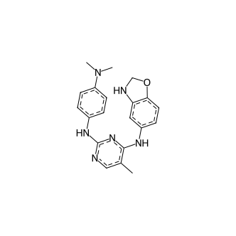 Cc1cnc(Nc2ccc(N(C)C)cc2)nc1Nc1ccc2c(c1)NCO2